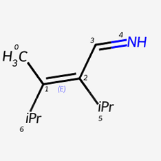 C/C(=C(\C=N)C(C)C)C(C)C